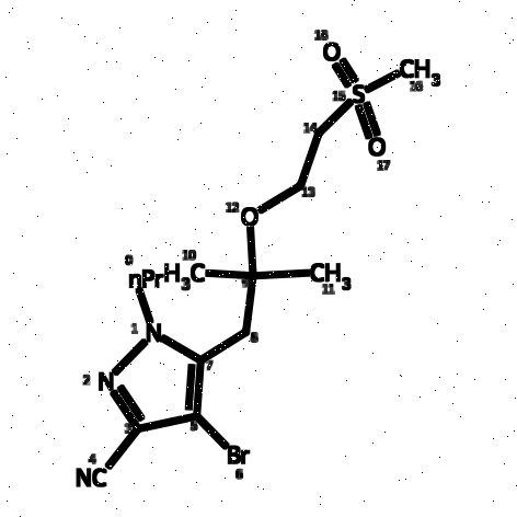 CCCn1nc(C#N)c(Br)c1CC(C)(C)OCCS(C)(=O)=O